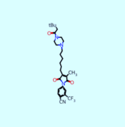 CC1=C(CCCCCCN2CCN(C(=O)CC(C)(C)C)CC2)C(=O)N(c2ccc(C#N)c(C(F)(F)F)c2)C1=O